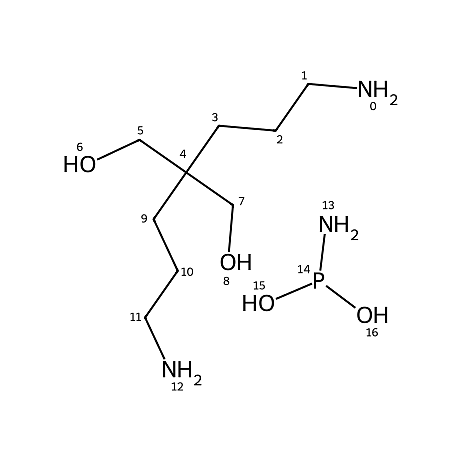 NCCCC(CO)(CO)CCCN.NP(O)O